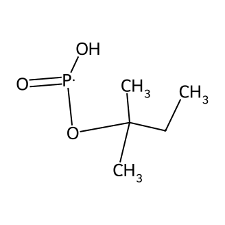 CCC(C)(C)O[P](=O)O